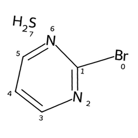 Brc1ncccn1.S